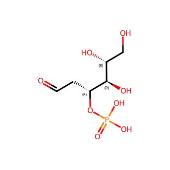 O=CC[C@@H](OP(=O)(O)O)[C@H](O)[C@H](O)CO